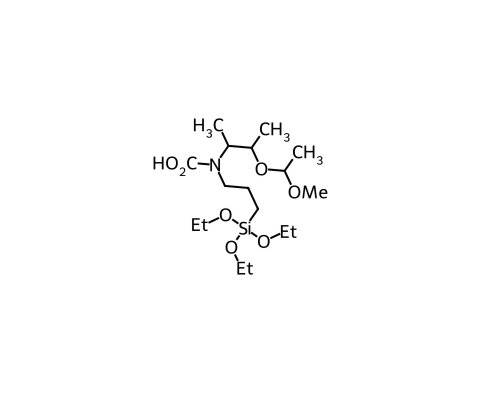 CCO[Si](CCCN(C(=O)O)C(C)C(C)OC(C)OC)(OCC)OCC